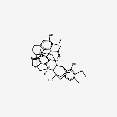 COc1cc2c(cc1O)CCN[C@]21CS[C@@H]2c3c(OC(C)=O)c(C)c4c(c3[C@H](COC1=O)N1C2C2c3c(cc(C)c(OC)c3O)CC1(O)CN2C)OCO4